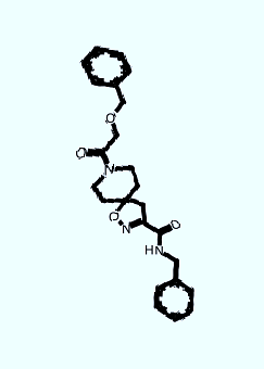 O=C(NCc1ccccc1)C1=NOC2(CCN(C(=O)COCc3ccccc3)CC2)C1